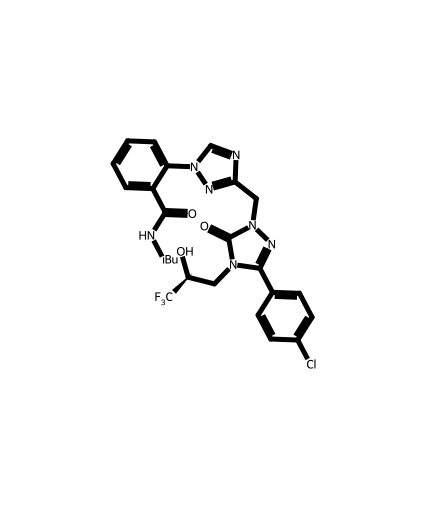 CCC(C)NC(=O)c1ccccc1-n1cnc(Cn2nc(-c3ccc(Cl)cc3)n(C[C@H](O)C(F)(F)F)c2=O)n1